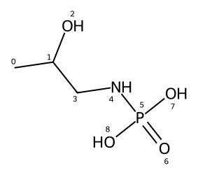 CC(O)CNP(=O)(O)O